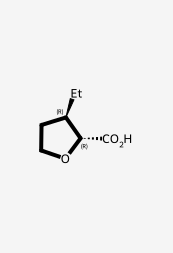 CC[C@@H]1CCO[C@H]1C(=O)O